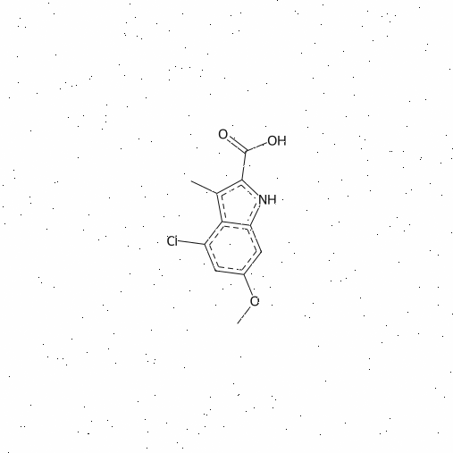 COc1cc(Cl)c2c(C)c(C(=O)O)[nH]c2c1